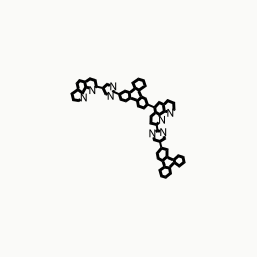 c1cnc2c(c1)ccc1ccc(-c3cnc(-c4ccc5c6ccc(-c7cc8cccnc8c8nc(-c9ncc(-c%10ccc%11c%12ccccc%12c%12ccccc%12c%11c%10)cn9)ccc78)cc6c6ccccc6c5c4)nc3)nc12